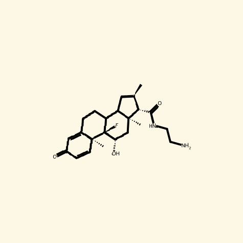 C[C@@H]1CC2C3CCC4=CC(=O)C=C[C@]4(C)[C@@]3(F)[C@@H](O)C[C@]2(C)[C@H]1C(=O)NCCN